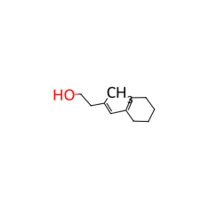 C/C(=C\C1=CCCCC1)CCO